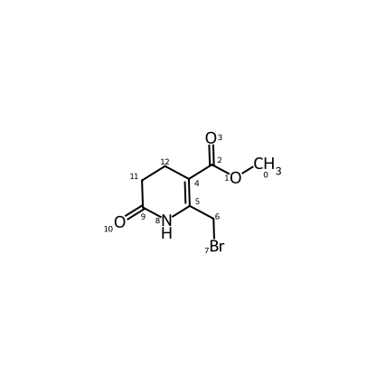 COC(=O)C1=C(CBr)NC(=O)CC1